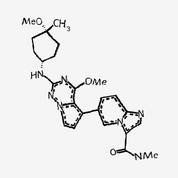 CNC(=O)c1cnc2ccc(-c3ccn4nc(N[C@H]5CC[C@@](C)(OC)CC5)nc(OC)c34)cn12